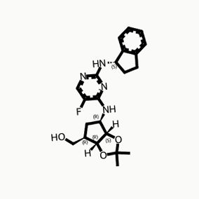 CC1(C)O[C@@H]2[C@@H](CO)C[C@@H](Nc3nc(N[C@H]4CCc5ccccc54)ncc3F)[C@@H]2O1